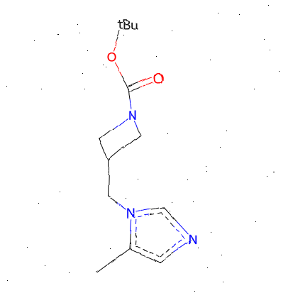 Cc1cncn1CC1CN(C(=O)OC(C)(C)C)C1